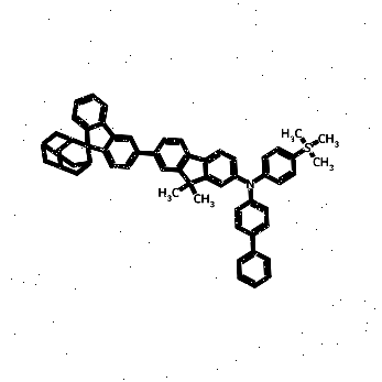 CC1(C)c2cc(-c3ccc4c(c3)-c3ccccc3C43C4CC5CC(C4)CC3C5)ccc2-c2ccc(N(c3ccc(-c4ccccc4)cc3)c3ccc(S(C)(C)C)cc3)cc21